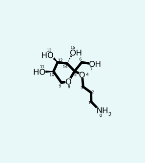 NCCCOC1(CO)OC[C@@H](O)[C@@H](O)[C@@H]1O